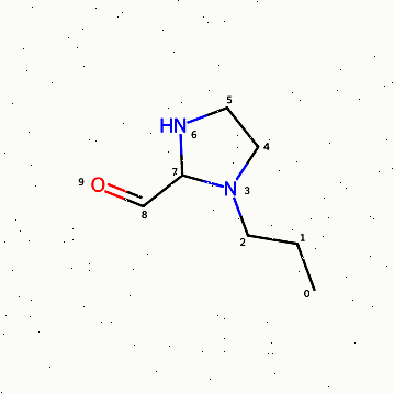 CCCN1CCNC1C=O